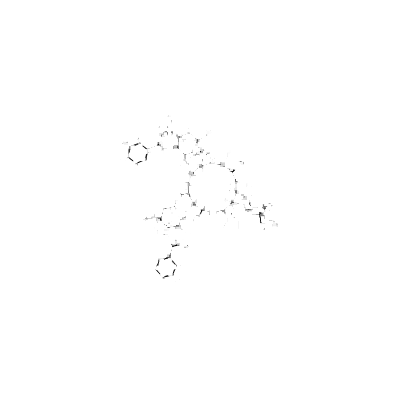 CC[C@H]1OC(=O)[C@H](C)[C@@H](OC2C[C@@](C)(OC)[C@@H](OC(=O)c3ccccc3)[C@H](C)O2)[C@H](C)[C@@H](OC2O[C@H](C)C[C@H](N(C)C)[C@H]2OC(=O)c2ccccc2)[C@@](C)(OC)C[C@@H](C)C(=O)[C@H](C)[C@@H](OSOOC)[C@@]1(O)COC(C)=O